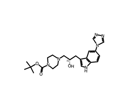 CC(C)(C)OC(=O)N1CCN(C[C@@H](O)Cc2c[nH]c3ccc(-n4cnnc4)cc23)CC1